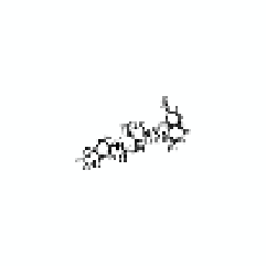 COc1ccc2ccc(=O)n(CCN3CC[C@@H]4CN(c5ccc6c(c5)OCCO6)C(=O)O[C@H]4C3)c2c1